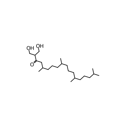 CC(C)CCCC(C)CCCC(C)CCCC(C)CC(=O)C(CO)CO